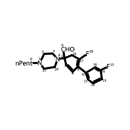 CCCCCN1CCN(C2(C=O)C=CC(c3cccc(F)c3)=C(F)C2)CC1